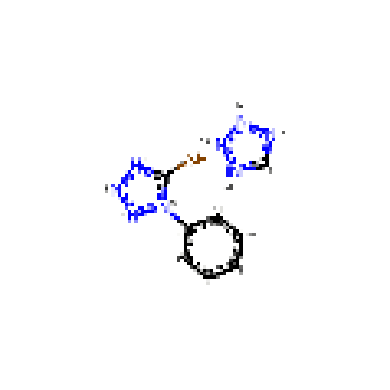 Sc1nnnn1-c1ccccc1.c1nnn[nH]1